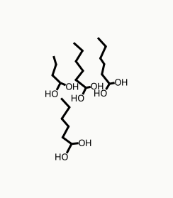 CCCC(O)O.CCCCCC(O)O.CCCCCC(O)O.CCCCCC(O)O